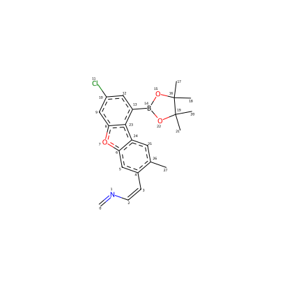 C=N/C=C\c1cc2oc3cc(Cl)cc(B4OC(C)(C)C(C)(C)O4)c3c2cc1C